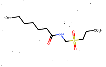 CCCCCCCCCCCCCCCC(=O)NCS(=O)(=O)CCC(=O)O